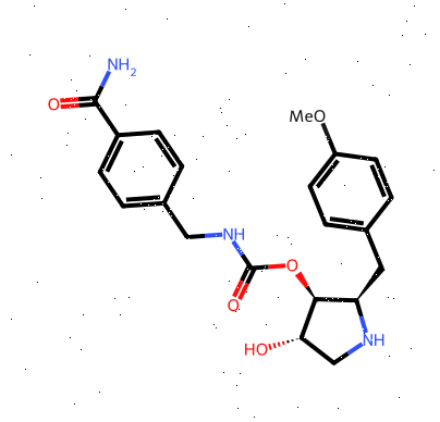 COc1ccc(C[C@H]2NC[C@H](O)[C@H]2OC(=O)NCc2ccc(C(N)=O)cc2)cc1